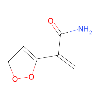 C=C(C(N)=O)C1=CCOO1